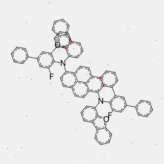 Fc1cc(-c2ccccc2)cc(-c2ccccc2)c1N(c1ccc2ccc3c(N(c4c(F)cc(-c5ccccc5)cc4-c4ccccc4)c4cccc5c4oc4ccccc45)ccc4ccc1c2c43)c1cccc2c1oc1ccccc12